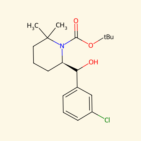 CC(C)(C)OC(=O)N1[C@@H](C(O)c2cccc(Cl)c2)CCCC1(C)C